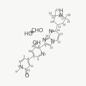 Cn1ccc(-c2cnc(-c3cn4ccc(C5CC(C)(C)NC(C)(C)C5)nc4n3)c(O)c2)cc1=O.O=CO